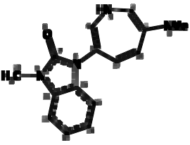 CNC1=CNC=C(n2c(=O)n(C)c3ccccc32)C=C1